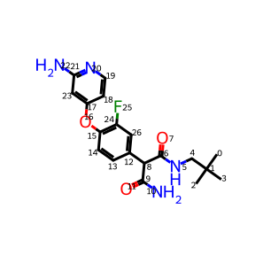 CC(C)(C)CNC(=O)C(C(N)=O)c1ccc(Oc2ccnc(N)c2)c(F)c1